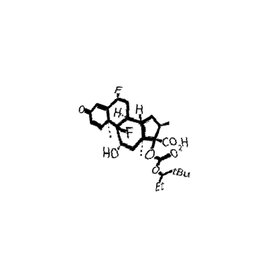 CCC(OC(=O)O[C@@]1(C(=O)O)[C@H](C)C[C@H]2[C@@H]3C[C@H](F)C4=CC(=O)C=C[C@]4(C)C3(F)[C@@H](O)C[C@@]21C)C(C)(C)C